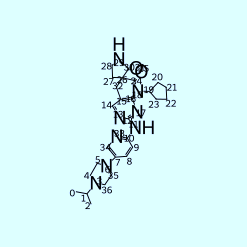 CC(C)N1CCN(c2ccc(Nc3ncc4c(n3)N(C3CCCC3)C(=O)C3(CCNC3=O)C4)nc2)CC1